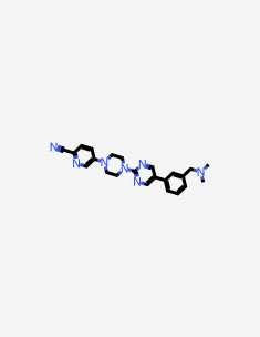 CN(C)Cc1cccc(-c2cnc(N3CCN(c4ccc(C#N)nc4)CC3)nc2)c1